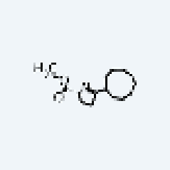 CCOC(=O)[C@H]1CCC(C2CCCCCCCC2)=N1